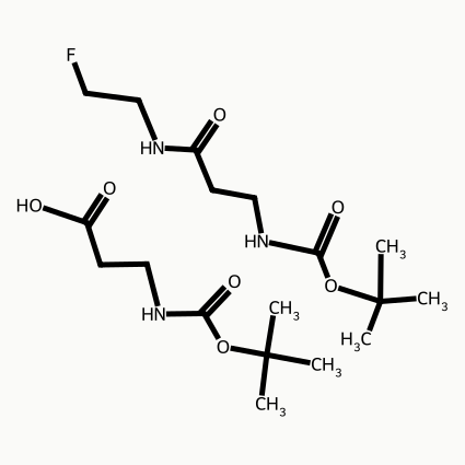 CC(C)(C)OC(=O)NCCC(=O)NCCF.CC(C)(C)OC(=O)NCCC(=O)O